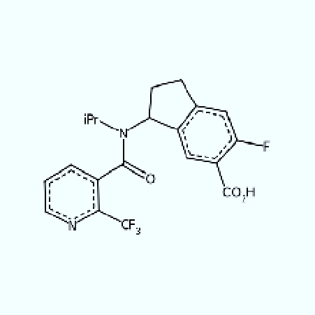 CC(C)N(C(=O)c1cccnc1C(F)(F)F)C1CCc2cc(F)c(C(=O)O)cc21